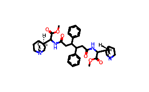 COC(=O)C(NC(=O)CC(c1ccccc1)C(CC(=O)NC(C(=O)OC)[C@H]1CN2CCC1CC2)c1ccccc1)[C@H]1CCN2CCC1CC2